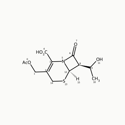 CC(=O)OCC1=C(C(=O)O)N2C(=O)[C@@H](C(C)O)[C@H]2SC1